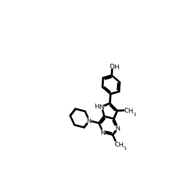 Cc1nc(N2CCCCC2)c2[nH]c(-c3ccc(O)cc3)c(C)c2n1